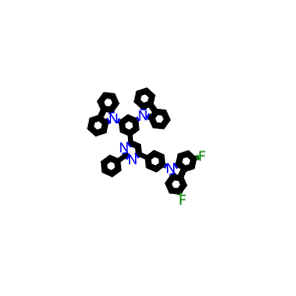 Fc1ccc2c(c1)c1cc(F)ccc1n2-c1ccc(-c2cc(-c3cc(-n4c5ccccc5c5ccccc54)cc(-n4c5ccccc5c5ccccc54)c3)nc(-c3ccccc3)n2)cc1